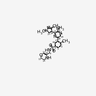 Cc1ccc(S(=O)(=O)NCC2=COCCN2)cc1-c1cnc(N)c(-c2cn(C)nc2C)n1